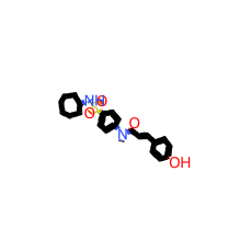 CN(C(=O)C=Cc1ccc(O)cc1)c1ccc(S(=O)(=O)NC2CCCCCC2)cc1